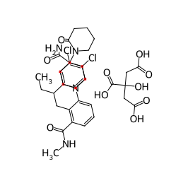 CCC(Cc1c(C(=O)NC)cccc1N1CCC(C(N)=O)(N2CCCCC2=O)CC1)c1ccc(Cl)c(Cl)c1.O=C(O)CC(O)(CC(=O)O)C(=O)O